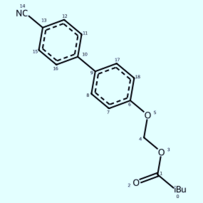 CCC(C)C(=O)OCOc1ccc(-c2ccc(C#N)cc2)cc1